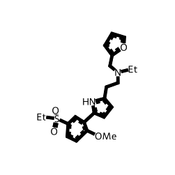 CCN(CCc1ccc(-c2cc(S(=O)(=O)CC)ccc2OC)[nH]1)Cc1ccco1